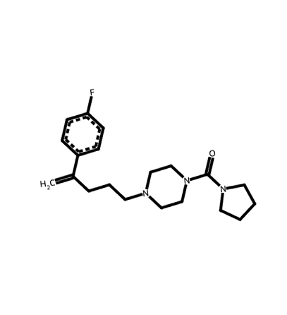 C=C(CCCN1CCN(C(=O)N2CCCC2)CC1)c1ccc(F)cc1